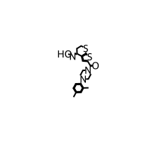 Cc1ccc(N2CCN(C(=O)c3cc4c(s3)SCCC4=NO)CC2)c(C)c1